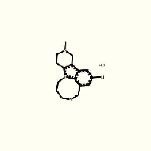 CN1CCc2c(c3cc(Cl)cc4c3n2CCCSC4)C1.Cl